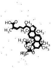 CC(=O)OC1CC(C)(C)[C@@H]2CC=C3C(=CC[C@]4(C)[C@@H]([C@H](C)CC/C=C(/C)C(=O)O)CC[C@@]34C)[C@@]2(C)C1(OC(C)=O)OC(C)=O